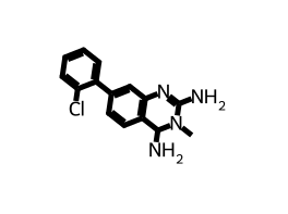 CN1C(N)=Nc2cc(-c3ccccc3Cl)ccc2C1N